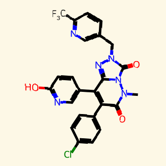 Cn1c(=O)c(-c2ccc(Cl)cc2)c(-c2ccc(O)nc2)c2nn(Cc3ccc(C(F)(F)F)nc3)c(=O)n21